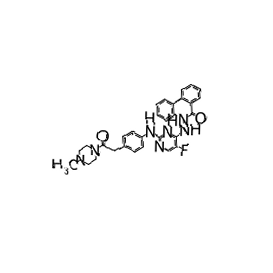 CN1CCN(C(=O)Cc2ccc(Nc3ncc(F)c(NNC(=O)c4ccccc4-c4ccccc4)n3)cc2)CC1